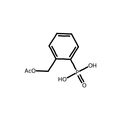 CC(=O)OCc1ccccc1P(=O)(O)O